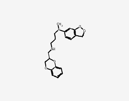 CN(CCCNCC1COc2ccccc2O1)c1ccc2c(c1)OOC2